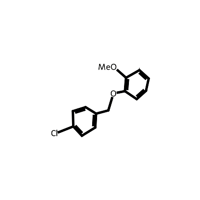 COc1[c]cccc1OCc1ccc(Cl)cc1